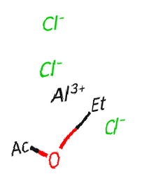 CCOC(C)=O.[Al+3].[Cl-].[Cl-].[Cl-]